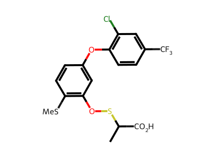 CSc1ccc(Oc2ccc(C(F)(F)F)cc2Cl)cc1OSC(C)C(=O)O